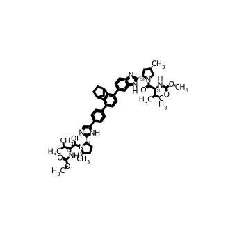 COC(=O)N[C@@H](C(C)C)C(O)N1[C@@H](C)CC[C@H]1c1ncc(-c2ccc(-c3ccc(-c4ccc5nc([C@@H]6C[C@H](C)CN6C(=O)[C@@H](NC(=O)OC)C(C)C)[nH]c5c4)c4c3C3CCC4C3)cc2)[nH]1